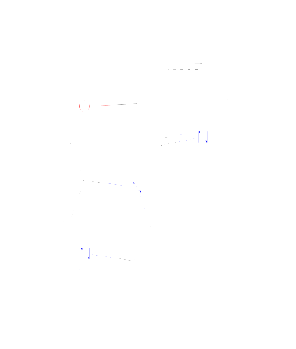 CN1CCN2c3ncccc3OCC2C1